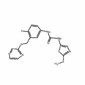 CSc1nnc(NC(=O)Nc2ccc(F)c(COc3cnccn3)c2)s1